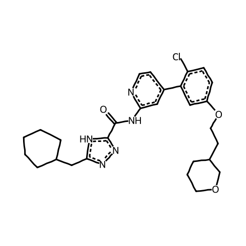 O=C(Nc1cc(-c2cc(OCCC3CCCOC3)ccc2Cl)ccn1)c1nnc(CC2CCCCC2)[nH]1